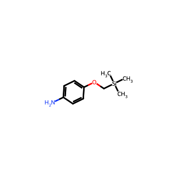 C[Si](C)(C)COc1ccc(N)cc1